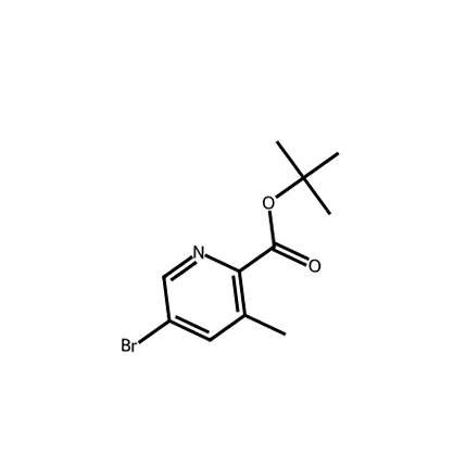 Cc1cc(Br)cnc1C(=O)OC(C)(C)C